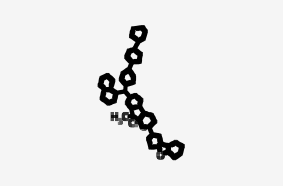 CC1(C)c2cc(-c3ccc4oc5ccccc5c4c3)ccc2-c2ccc(C(c3ccc(-c4ccc(-c5ccccc5)cc4)cc3)c3cccc4ccccc34)cc21